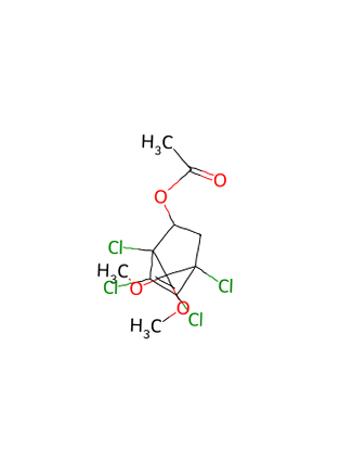 COC1(OC)C2(Cl)CC(OC(C)=O)C1(Cl)C(Cl)=C2Cl